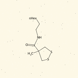 CCCCCCCCNC(=O)C1(C)CSSC1